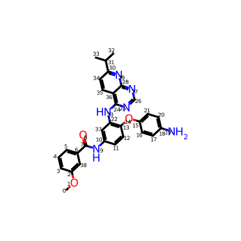 COc1cccc(C(=O)Nc2ccc(Oc3ccc(N)cc3)c(Nc3ncnc4nc(C(C)C)ccc34)c2)c1